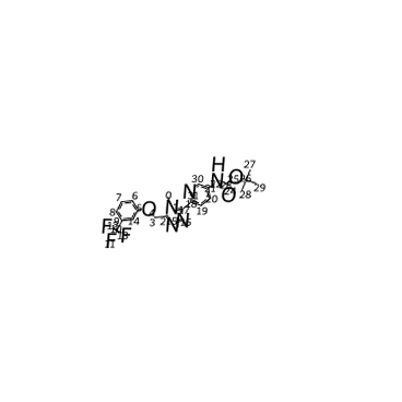 Cn1c(COc2cccc(C(F)(F)F)c2)nnc1-c1ccc(NC(=O)OC(C)(C)C)cn1